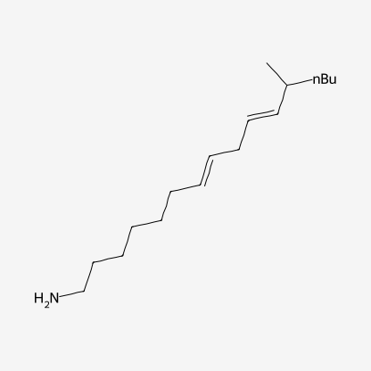 CCCCC(C)/C=C/C/C=C/CCCCCCN